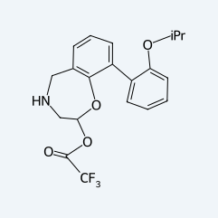 CC(C)Oc1ccccc1-c1cccc2c1OC(OC(=O)C(F)(F)F)CNC2